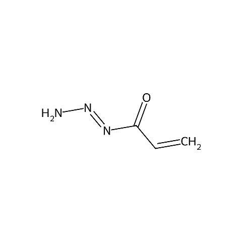 C=CC(=O)N=NN